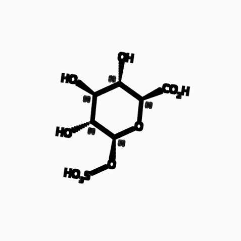 O=C(O)[C@H]1O[C@@H](OS(=O)(=O)O)[C@H](O)[C@@H](O)[C@@H]1O